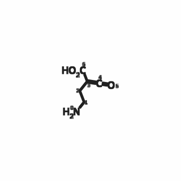 NCCC(=C=O)C(=O)O